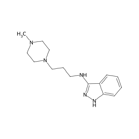 CN1CCN(CCCNc2n[nH]c3ccccc23)CC1